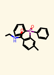 CCNC(=O)c1ccc(C)cc1P(=O)(c1ccccc1)c1ccccc1